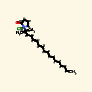 CCCCCCCCCCCCCCCCC(C)(C)[N+]1(Cl)CCCC1=O